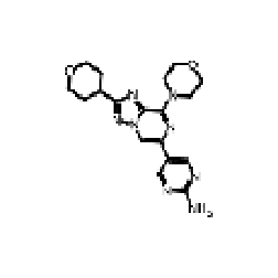 Nc1ncc(-c2cn3nc(C4CCOCC4)nc3c(N3CCOCC3)n2)cn1